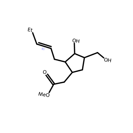 CC/C=C/CC1C(CC(=O)OC)CC(CO)C1O